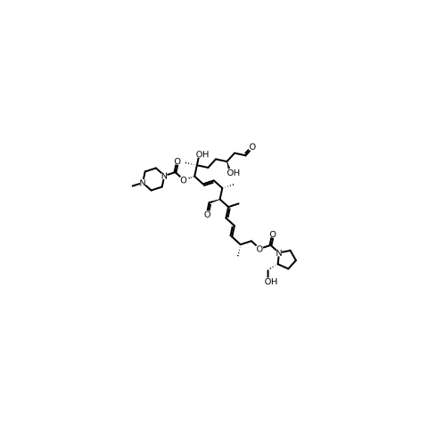 C/C(=C\C=C\[C@@H](C)COC(=O)N1CCC[C@@H]1CO)[C@@H](C=O)[C@@H](C)/C=C/[C@H](OC(=O)N1CCN(C)CC1)[C@@](C)(O)CC[C@H](O)CC=O